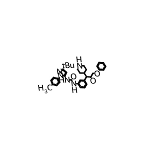 Cc1ccc(-n2nc(C(C)(C)C)cc2NC(=O)Nc2cccc(C(C(=O)COc3ccccc3)C3CCNCC3)c2)cc1